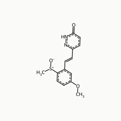 COc1ccc([S+](C)[O-])c(C=Cc2ccc(=O)[nH]n2)c1